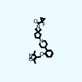 Cc1noc(C)c1COc1ccccc1C1CCN(C2CCC3(C2)CN(C(=O)C2(F)CC2)C3)CC1